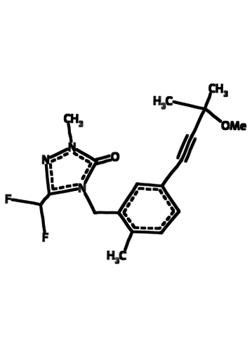 COC(C)(C)C#Cc1ccc(C)c(Cn2c(C(F)F)nn(C)c2=O)c1